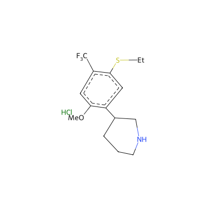 CCSc1cc(C2CCCNC2)c(OC)cc1C(F)(F)F.Cl